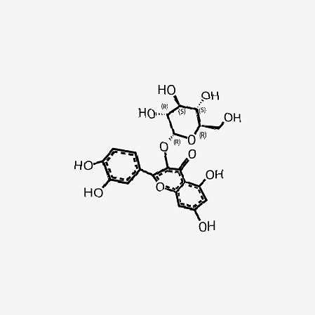 O=c1c(O[C@H]2O[C@H](CO)[C@@H](O)[C@H](O)[C@H]2O)c(-c2ccc(O)c(O)c2)oc2cc(O)cc(O)c12